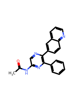 CC(=O)Nc1cnc(-c2ccc3ncccc3c2)c(-c2ccccc2)n1